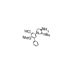 CCCC[C@@H]1CN(c2ccc(OC)c(-c3ccccc3)c2)CC[C@H]1N.Cl